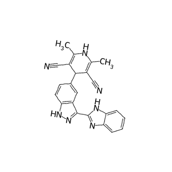 CC1=C(C#N)C(c2ccc3[nH]nc(-c4nc5ccccc5[nH]4)c3c2)C(C#N)=C(C)N1